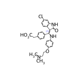 CN(C)CCOc1ccc(N/C(=C2\C(=O)Nc3cc(Cl)ccc32)c2ccc(CC(=O)O)cc2)cc1